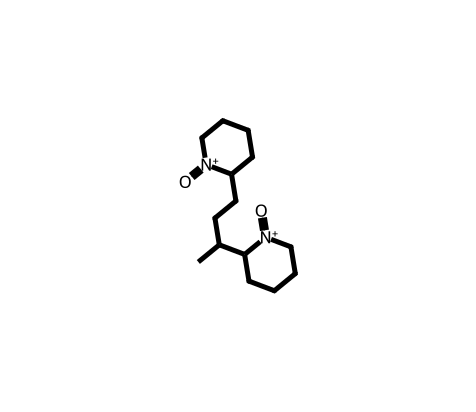 CC(CCC1CCCC[N+]1=O)C1CCCC[N+]1=O